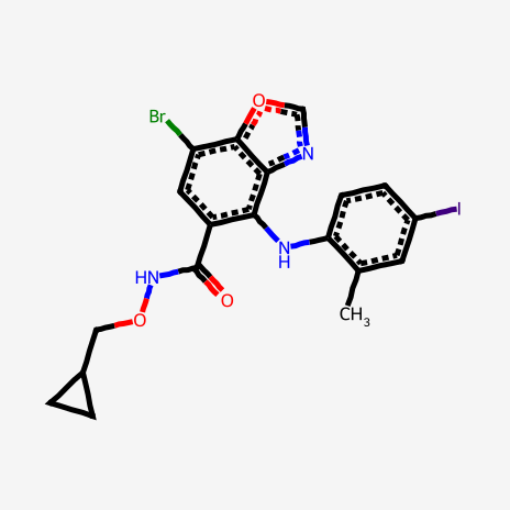 Cc1cc(I)ccc1Nc1c(C(=O)NOCC2CC2)cc(Br)c2ocnc12